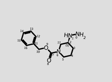 NN[C@H]1CCCN(C(=O)OCc2ccccc2)C1